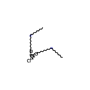 CCCCCCCC/C=C\CCCCCCCCOC[C@H]1C[N+](C)(C)C[C@@H]1COCCCCCCCC/C=C\CCCCCCCC.[Cl-]